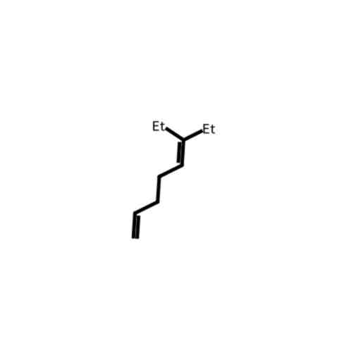 C=CCCC=C(CC)CC